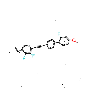 C=Cc1ccc(C#Cc2ccc(-c3ccc(OC)cc3F)cc2)c(F)c1F